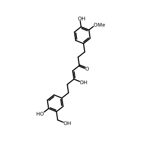 COc1cc(CCC(=O)/C=C(\O)CCc2ccc(O)c(CO)c2)ccc1O